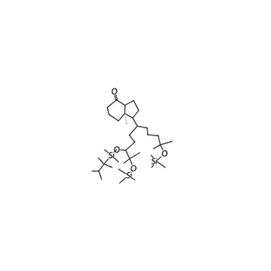 CC(C)C(C)(C)[Si](C)(C)OC(CCC(CCCC(C)(C)O[Si](C)(C)C)C1CCC2C(=O)CCC[C@@]21C)C(C)(C)O[Si](C)(C)C